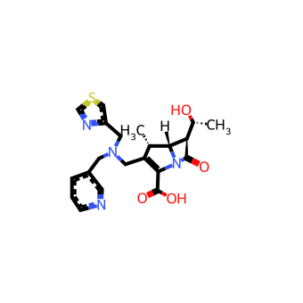 C[C@@H](O)[C@H]1C(=O)N2C(C(=O)O)=C(CN(Cc3cccnc3)Cc3cscn3)[C@H](C)[C@H]12